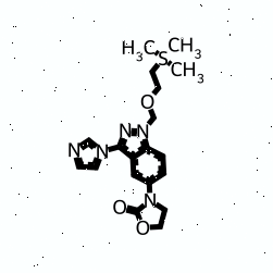 CS(C)(C)CCOCn1nc(-n2ccnc2)c2cc(N3CCOC3=O)ccc21